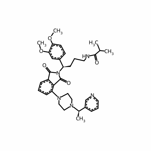 COc1ccc([C@@H](CCCNC(=O)C(C)C)N2C(=O)c3cccc(N4CCN([C@H](C)c5cccnc5)CC4)c3C2=O)cc1OC